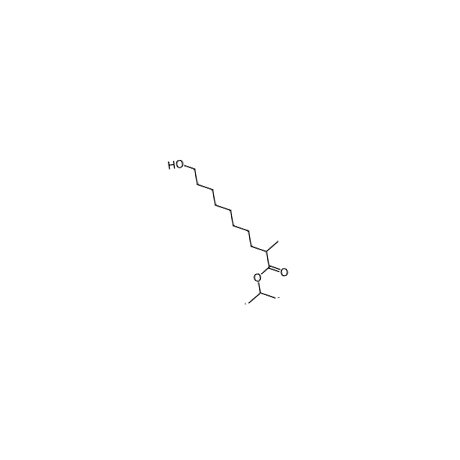 [CH2]C([CH2])OC(=O)C(C)CCCCCCCCO